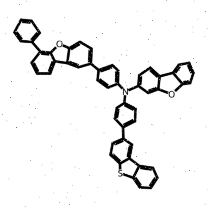 c1ccc(-c2cccc3c2oc2ccc(-c4ccc(N(c5ccc(-c6ccc7sc8ccccc8c7c6)cc5)c5ccc6c(c5)oc5ccccc56)cc4)cc23)cc1